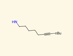 CCCCC#CCCCCC[NH]